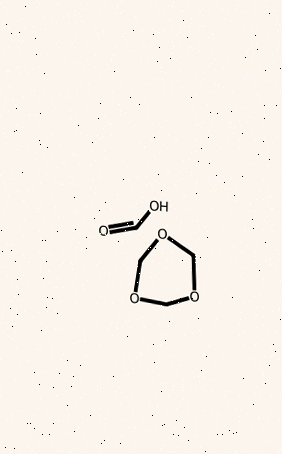 C1OCOCO1.O=CO